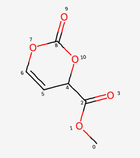 COC(=O)C1C=COC(=O)O1